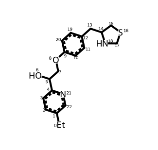 CCc1ccc(C(O)COc2ccc(CC3CSCN3)cc2)nc1